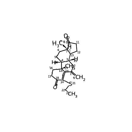 C=C1C[C@@H]2[C@@H](CC[C@]3(C)C(=O)CC[C@@H]23)[C@@]2(C)CCC(=O)C(SCC)=C12